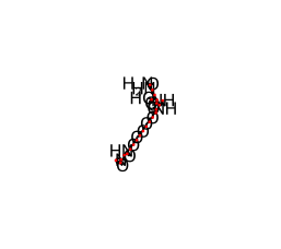 CC(C)[C@H](NC(=O)CCOCCOCCOCCOCCOCCNC(=O)CCN1CC=CC1=O)C(=O)N[C@@H](CCCNC(N)=O)C(=O)O